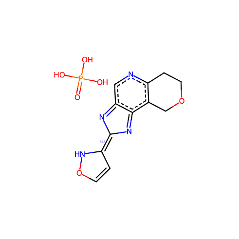 C1=C/C(=C2/N=c3cnc4c(c3=N2)COCC4)NO1.O=P(O)(O)O